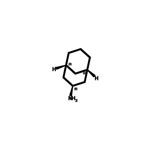 N[C@@H]1C[C@H]2CCC[C@@H](C1)C2